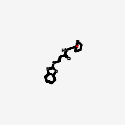 O=C(C=CSc1nc2ccccc2o1)NC1CN2CCC1CC2